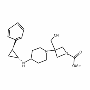 COC(=O)N1CC(CC#N)(N2CCC(N[C@@H]3C[C@H]3c3ccccc3)CC2)C1